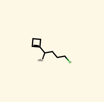 CCCCC(CCCBr)C1=CCC1